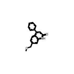 COCc1ccc2c(-c3ccccc3)cc(=O)[nH]c2c1